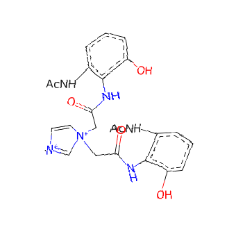 CC(=O)Nc1cccc(O)c1NC(=O)C[N+]1(CC(=O)Nc2c(O)cccc2NC(C)=O)C=C[N+]=C1